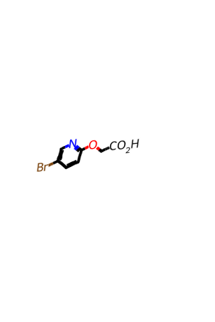 O=C(O)COc1ccc(Br)cn1